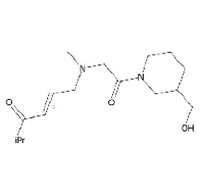 CC(C)C(=O)/C=C/CN(C)CC(=O)N1CCCC(CO)C1